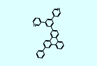 c1ccc(-c2ccc3c(c2)c2ccccc2c2ccc(-c4cc(-c5ccncc5)cc(-c5cccnc5)c4)cc23)cc1